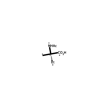 CC[C@](C)(NC(C)=O)C(=O)O